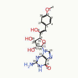 COc1ccc(C=C(O)[C@H]2O[C@@H](n3cnc4c(=O)[nH]c(N)nc43)[C@H](O)[C@@H]2O)cc1